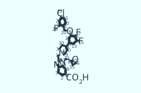 O=C(O)c1ccc2nc(CN3CC=C(c4cc(F)c(F)c(OCc5ccc(Cl)cc5F)c4)CC3)n(C[C@@H]3CCO3)c2c1